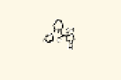 O=C(N1CCCCC1n1ccnc1)C1(S)CCNC1